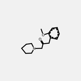 COc1ccccc1CC(=O)CN1CCCCC1